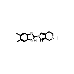 Cc1cc2nc(-n3cc4c(n3)CNCC4)[nH]c2cc1C